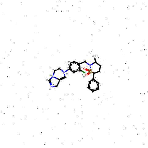 CC1CCC(c2ccccc2)S(=O)(=O)N1Cc1ccc(N2C=C3CN=CN3CC2)cc1F